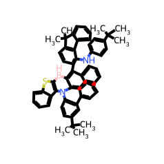 CC(C)(C)c1ccc(Nc2c(-c3c4c(cc5ccccc35)N(c3ccc(C(C)(C)C)cc3-c3ccccc3)c3c(sc5ccccc35)B4)ccc3c2-c2ccccc2C3(C)C)cc1